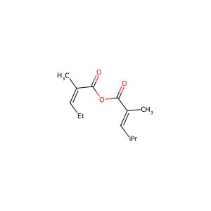 CCC=C(C)C(=O)OC(=O)C(C)=CC(C)C